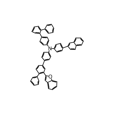 c1ccc(-c2ccccc2-c2ccc(N(c3ccc(-c4ccc(-c5ccccc5)c(-c5cc6ccccc6o5)c4)cc3)c3ccc(-c4ccc5ccccc5c4)cc3)cc2)cc1